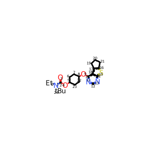 CCN(C(=O)OC1CCC(Oc2ncnc3sc4c(c23)CCC4)CC1)C(C)(C)C